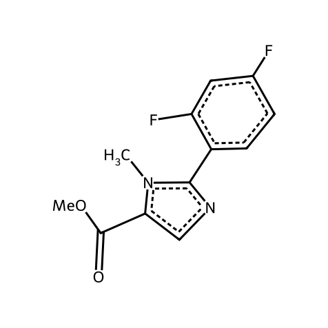 COC(=O)c1cnc(-c2ccc(F)cc2F)n1C